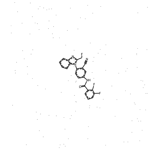 N#Cc1cc(NC(=O)c2cccc(F)c2F)ccc1-n1c(CF)nc2ccccc21